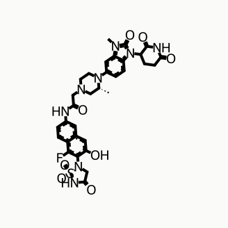 C[C@@H]1CN(CC(=O)Nc2ccc3c(F)c(N4CC(=O)NS4(=O)=O)c(O)cc3c2)CCN1c1ccc2c(c1)n(C)c(=O)n2C1CCC(=O)NC1=O